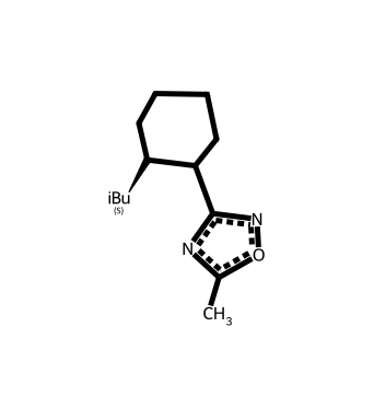 CC[C@H](C)C1CCCCC1c1noc(C)n1